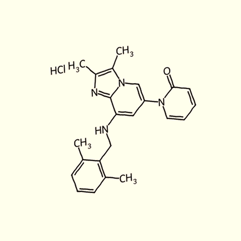 Cc1cccc(C)c1CNc1cc(-n2ccccc2=O)cn2c(C)c(C)nc12.Cl